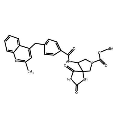 Cc1cc(Cc2ccc(C(=O)NC3CN(C(=O)OC(C)(C)C)CC34NC(=O)NC4=O)cc2)c2ccccc2n1